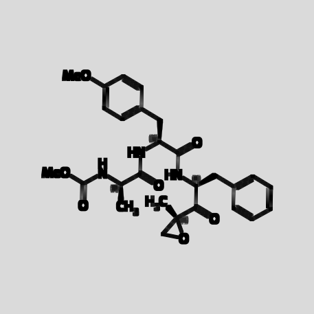 COC(=O)N[C@H](C)C(=O)N[C@@H](Cc1ccc(OC)cc1)C(=O)N[C@@H](Cc1ccccc1)C(=O)[C@@]1(C)CO1